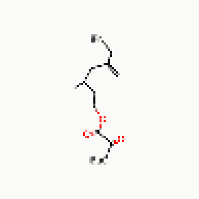 C=C(CC(C)C)CC(C)CCOC(=O)C(=O)OCC(C)C